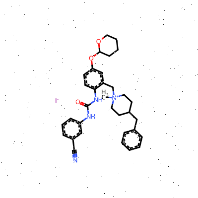 C[N+]1(Cc2cc(OC3CCCCO3)ccc2NC(=O)Nc2cccc(C#N)c2)CCC(Cc2ccccc2)CC1.[I-]